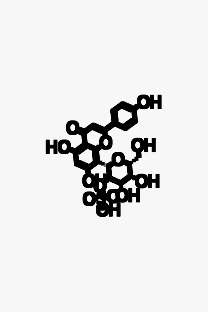 O=c1cc(-c2ccc(O)cc2)oc2c([C@@H]3O[C@H](CO)[C@@H](O)[C@H](O)[C@H]3OS(=O)(=O)O)c(O)cc(O)c12